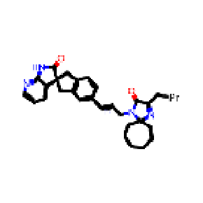 CC(C)CC1=NC2(CCCCCC2)N(C/C=C/c2ccc3c(c2)CC2(C3)C(=O)Nc3ncccc32)C1=O